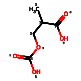 CC(COC(=O)O)C(=O)O